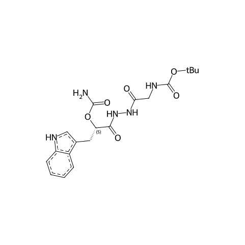 CC(C)(C)OC(=O)NCC(=O)NNC(=O)[C@H](Cc1c[nH]c2ccccc12)OC(N)=O